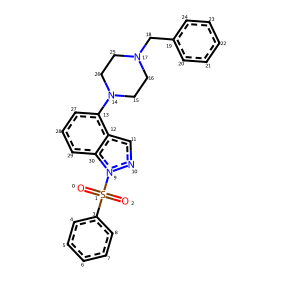 O=S(=O)(c1ccccc1)n1ncc2c(N3CCN(Cc4ccccc4)CC3)cccc21